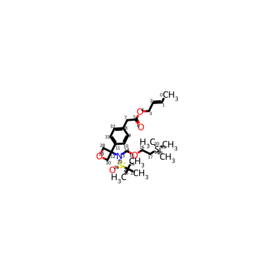 C/C=C/COC(=O)Cc1ccc(C2(N(COCC[Si](C)(C)C)[S+]([O-])C(C)(C)C)COC2)cc1